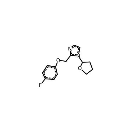 Fc1ccc(OCc2nccn2C2CCCO2)cc1